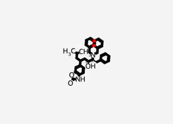 CC(C)CC(C[C@@H](O)[C@H](Cc1ccccc1)N(Cc1ccccc1)Cc1ccccc1)c1ccc2[nH]c(=O)oc2c1